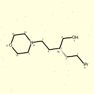 CC(C)CC[C@@H](CO)CCN1CCOCC1